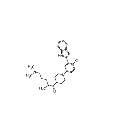 CN(C)CCCN(C)C(=O)C1CCN(c2ccc(Cl)c(-c3nc4ccccc4[nH]3)c2)CC1